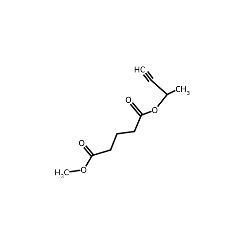 C#CC(C)OC(=O)CCCC(=O)OC